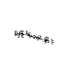 CC(C)(C)C(=O)CCCCC(=O)OCCOCCOC(=O)CCCCC(=O)C(C)(C)C